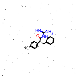 N#Cc1ccc([C@H](Cc2ccccc2)C(=O)NC(=N)N)cc1